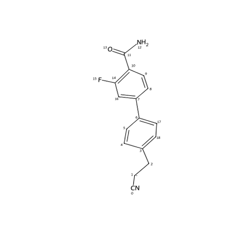 N#C[CH]Cc1ccc(-c2ccc(C(N)=O)c(F)c2)cc1